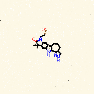 C[S+]([O-])CCN1C(=O)C(C)(C)c2cc3[nH]c4c(c3cc21)CCCc1c[nH]nc1-4